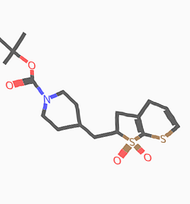 CC(C)(C)OC(=O)N1CCC(CC2CC3=C(SC=CC3)S2(=O)=O)CC1